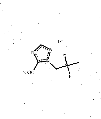 CC(F)(F)Cn1ncnc1C(=O)[O-].[Li+]